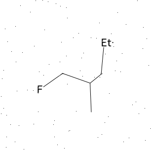 C[CH]CC(C)CF